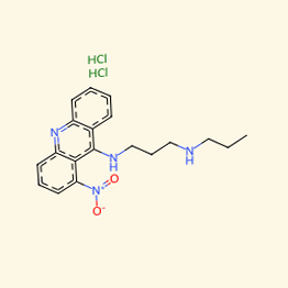 CCCNCCCNc1c2ccccc2nc2cccc([N+](=O)[O-])c12.Cl.Cl